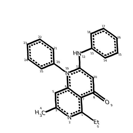 CCc1nc(C)cc2c1c(=O)cc(Nc1ccccc1)n2-c1ccccc1